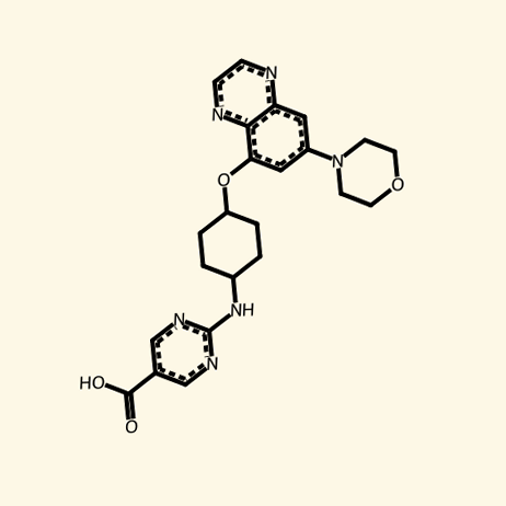 O=C(O)c1cnc(NC2CCC(Oc3cc(N4CCOCC4)cc4nccnc34)CC2)nc1